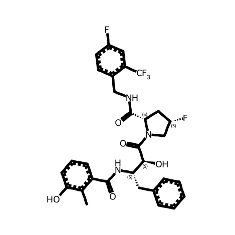 Cc1c(O)cccc1C(=O)N[C@@H](Cc1ccccc1)[C@H](O)C(=O)N1C[C@@H](F)C[C@H]1C(=O)NCc1ccc(F)cc1C(F)(F)F